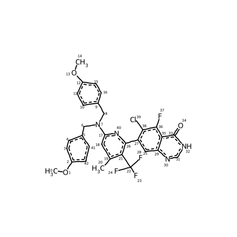 COc1ccc(CN(Cc2ccc(OC)cc2)c2cc(C)c(C(F)(F)F)c(-c3cc4nc[nH]c(=O)c4c(F)c3Cl)n2)cc1